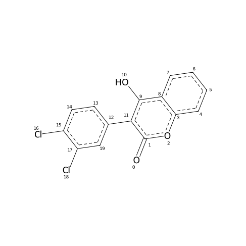 O=c1oc2ccccc2c(O)c1-c1ccc(Cl)c(Cl)c1